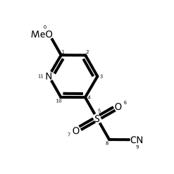 COc1ccc(S(=O)(=O)CC#N)cn1